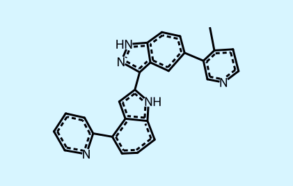 Cc1ccncc1-c1ccc2[nH]nc(-c3cc4c(-c5ccccn5)cccc4[nH]3)c2c1